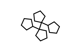 C1CC[C](C2(C3(C4CCCC4)CCCC3)CCCC2)C1